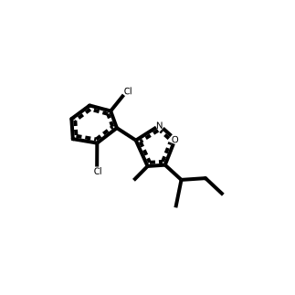 CCC(C)c1onc(-c2c(Cl)cccc2Cl)c1C